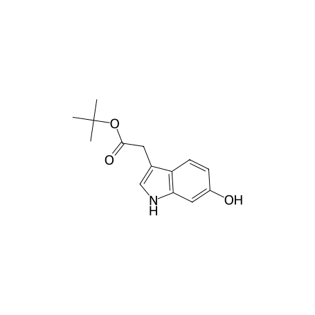 CC(C)(C)OC(=O)Cc1c[nH]c2cc(O)ccc12